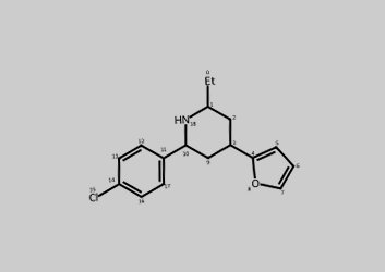 CCC1CC(c2ccco2)CC(c2ccc(Cl)cc2)N1